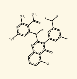 CCN(c1nc(N)nc(N)c1C(N)=O)c1nc2cccc(Cl)c2c(=O)n1-c1cc(F)cc(C(F)F)c1